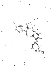 Cc1ccc(C(=O)N2CCCC2c2nnn(-c3cccc(Cl)c3)n2)o1